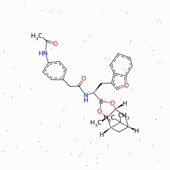 CC(=O)Nc1ccc(CC(=O)N[C@@H](Cc2coc3ccccc23)B2O[C@@H]3C[C@@H]4C[C@@H](C4(C)C)[C@]3(C)O2)cc1